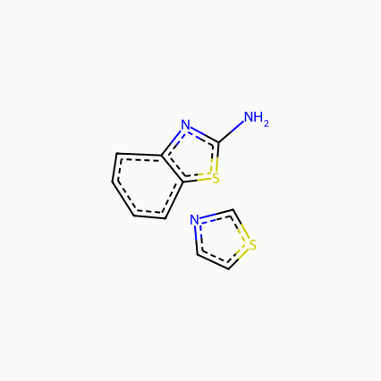 Nc1nc2ccccc2s1.c1cscn1